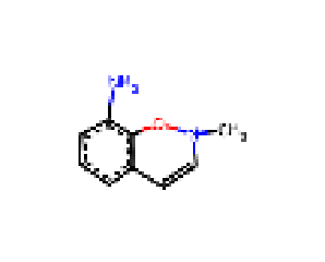 CN1C=Cc2cccc(N)c2O1